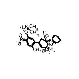 BC(C)(C)Oc1cc(C2=CC(B)(B)N(Cc3ccccc3)C(B)(B)C2)c(C)cc1[N+](=O)[O-]